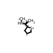 C=C(NC)C1CCCS1